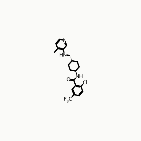 Cc1ccncc1NC[C@H]1CC[C@H](NC(=O)c2cc(C(F)(F)F)ccc2Cl)CC1